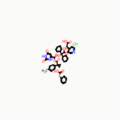 Cc1ccc(C2(C(=O)OC(=O)c3cc(=O)[nH]c(=O)[nH]3)CC2)cc1.Cl.O=C(O)C(O)(c1ccccc1)c1ccccc1.O=C(O)Cc1ccccc1.O=C(O)Cc1ccncc1